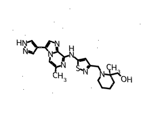 Cc1cn2c(-c3cn[nH]c3)cnc2c(Nc2cc(CN3CCCC[C@@]3(C)CO)ns2)n1